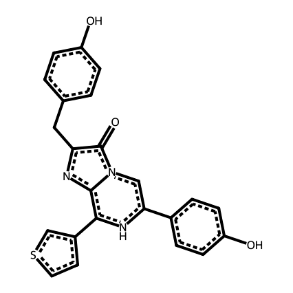 O=c1c(Cc2ccc(O)cc2)nc2c(-c3ccsc3)[nH]c(-c3ccc(O)cc3)cn1-2